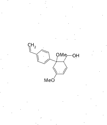 C=Cc1ccc(C2(OC)C=C(OC)C=CC2CO)cc1